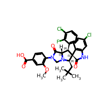 COc1cc(C(=O)O)ccc1N1CN2[C@H](C1=O)[C@@H](c1cccc(Cl)c1F)[C@@]1(C(=O)Nc3cc(Cl)ccc31)[C@H]2CC(C)(C)C